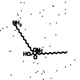 CCCCCCCCCCCCCCC(O)C(=O)[C@@H](CO)[C@H](O)CCCCCCCCCCCCCCCN